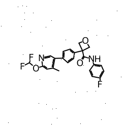 Cc1cc(OC(F)F)ncc1-c1ccc(C2(C(=O)Nc3ccc(F)cc3)COC2)cc1